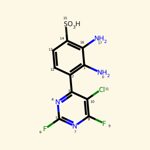 Nc1c(-c2nc(F)nc(F)c2Cl)ccc(S(=O)(=O)O)c1N